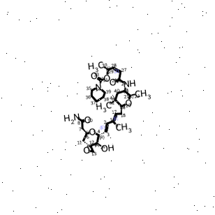 CC(/C=C/[C@H]1O[C@H](CC(N)=O)C[C@@]2(CO2)[C@@H]1O)=C\C[C@@H]1O[C@H](C)[C@H](NC(=O)/C=C\[C@H](C)OC(=O)N2CCCCC2)C[C@@H]1C